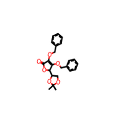 CC1(C)OCC(C2OC(=O)C(OCc3ccccc3)=C2OCc2ccccc2)O1